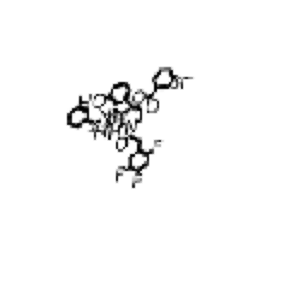 [2H]C([2H])([2H])[N+](C)(Cc1ccccc1)C[C@@H]1CN(C(=O)Cc2cc(F)c(F)cc2F)CC[C@@]1(OC(=O)c1ccccc1)c1cccc(O)c1.[Br-]